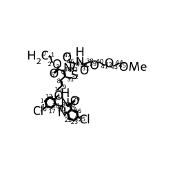 C=CCOC(=O)C1=C(/C=C/COc2ccc(Cl)cc2-c2nc3ccc(Cl)cc3c(=O)[nH]2)CSC2[C@H](NC(=O)COCCOCCOC)C(=O)N12